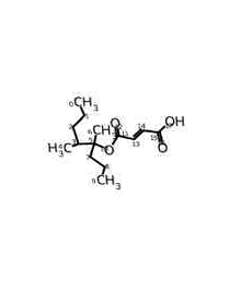 CCCC(C)C(C)(CCC)OC(=O)C=CC(=O)O